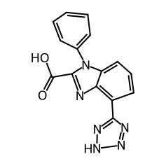 O=C(O)c1nc2c(-c3nn[nH]n3)cccc2n1-c1ccccc1